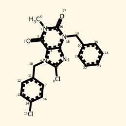 Cn1c(=O)c2c(nc(Cl)n2Cc2ccc(Cl)cc2)n(Cc2ccccc2)c1=O